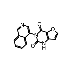 O=c1[nH]c2ccoc2c(=O)n1-c1cncc2ccccc12